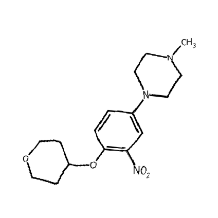 CN1CCN(c2ccc(OC3CCOCC3)c([N+](=O)[O-])c2)CC1